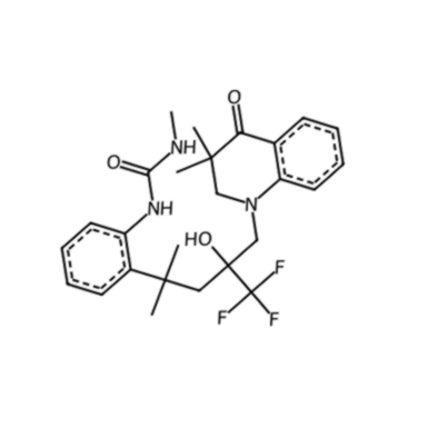 CNC(=O)Nc1ccccc1C(C)(C)CC(O)(CN1CC(C)(C)C(=O)c2ccccc21)C(F)(F)F